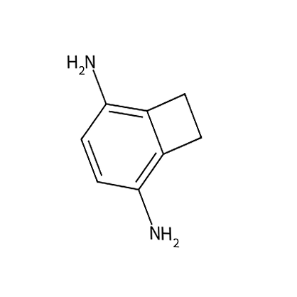 Nc1ccc(N)c2c1CC2